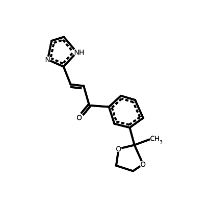 CC1(c2cccc(C(=O)C=Cc3ncc[nH]3)c2)OCCO1